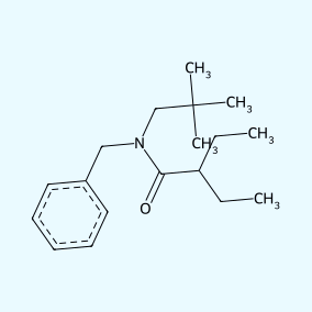 CCC(CC)C(=O)N(Cc1ccccc1)CC(C)(C)C